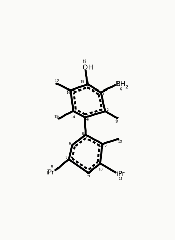 Bc1c(C)c(-c2cc(C(C)C)cc(C(C)C)c2C)c(C)c(C)c1O